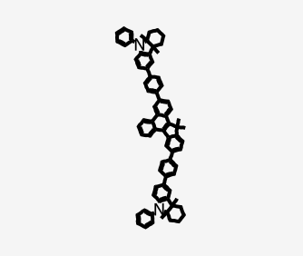 CC1(C)c2ccc(-c3ccc(-c4ccc5c(c4)C4(C)CCCCC4(C)N5c4ccccc4)cc3)cc2-c2c1c1ccc(-c3ccc(-c4ccc5c(c4)C4(C)CCCCC4(C)N5c4ccccc4)cc3)cc1c1ccccc21